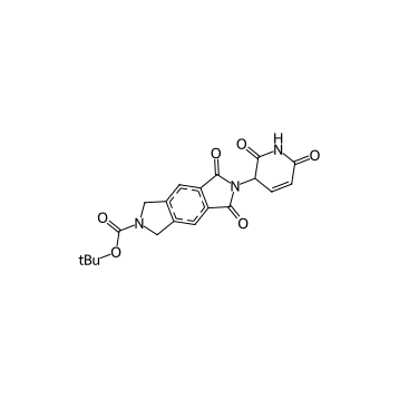 CC(C)(C)OC(=O)N1Cc2cc3c(cc2C1)C(=O)N(C1C=CC(=O)NC1=O)C3=O